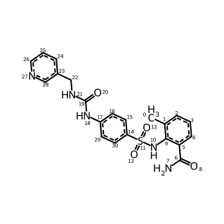 Cc1cccc(C(N)=O)c1NS(=O)(=O)c1ccc(NC(=O)NCc2cccnc2)cc1